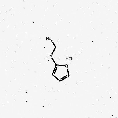 Cl.N#CCNc1ccco1